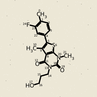 Cc1ccc(-c2sc3c(c2C)c(=O)n(CCCO)c(=O)n3C)cc1F